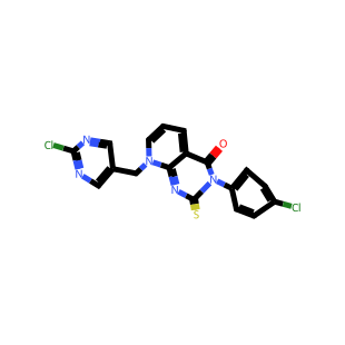 O=c1c2cccn(Cc3cnc(Cl)nc3)c-2nc(=S)n1-c1ccc(Cl)cc1